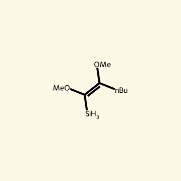 CCCCC(OC)=C([SiH3])OC